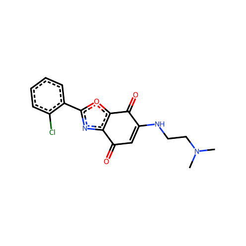 CN(C)CCNC1=CC(=O)c2nc(-c3ccccc3Cl)oc2C1=O